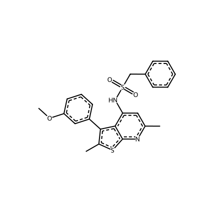 COc1cccc(-c2c(C)sc3nc(C)cc(NS(=O)(=O)Cc4ccccc4)c23)c1